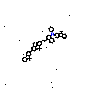 CC1(C)c2ccccc2-c2ccc(-c3cc4c5c(ccc6cc(/C=C/c7ccc(N(c8ccccc8)c8ccc9c(c8)C(C)(C)c8ccccc8-9)c8ccccc78)cc(c65)C4(C)C)c3)cc21